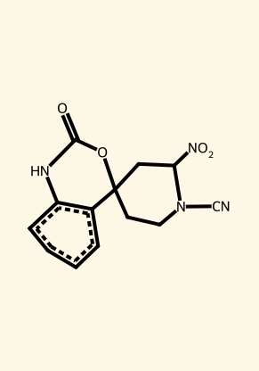 N#CN1CCC2(CC1[N+](=O)[O-])OC(=O)Nc1ccccc12